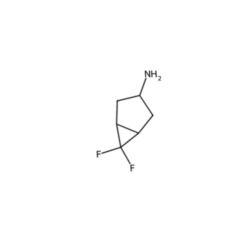 NC1CC2C(C1)C2(F)F